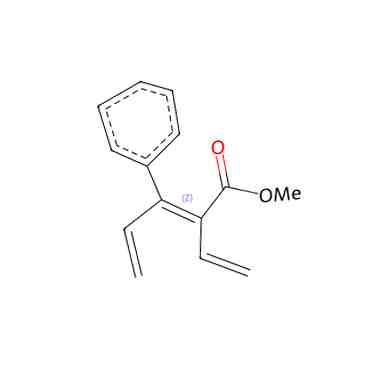 C=C/C(C(=O)OC)=C(\C=C)c1ccccc1